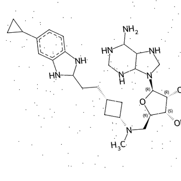 CN(C[C@H]1O[C@@H](N2CNC3C(N)NCNC32)[C@H](O)[C@@H]1O)[C@H]1C[C@@H](CCC2Nc3ccc(C4CC4)cc3N2)C1